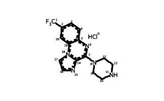 Cl.FC(F)(F)c1ccc2nc(N3CCNCC3)c3nccn3c2c1